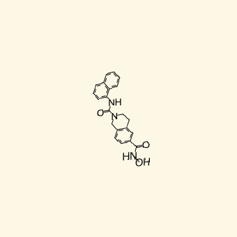 O=C(NO)c1ccc2c(c1)CCN(C(=O)Nc1cccc3ccccc13)C2